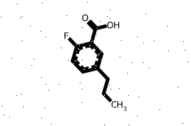 CCCc1ccc(F)c(C(=O)O)c1